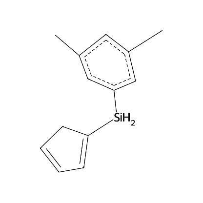 Cc1cc(C)cc([SiH2]C2=CC=CC2)c1